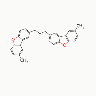 Cc1ccc2oc3ccc(CCCc4ccc5oc6ccc(C)cc6c5c4)cc3c2c1